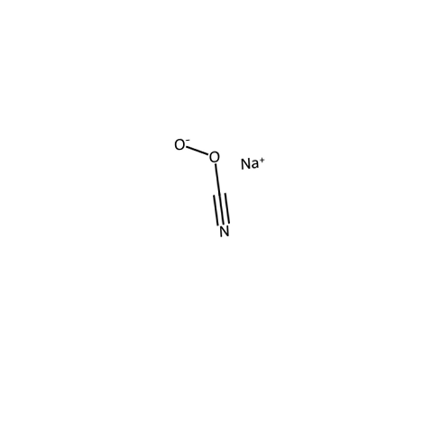 N#CO[O-].[Na+]